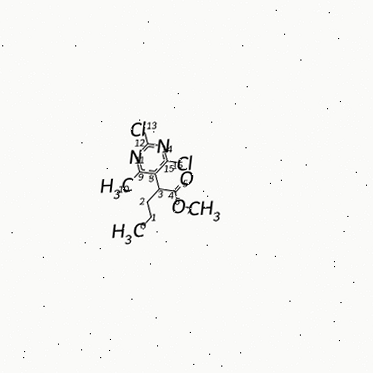 CCCC(C(=O)OC)c1c(C)nc(Cl)nc1Cl